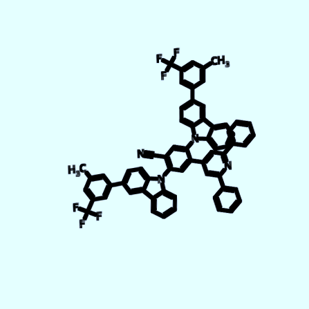 Cc1cc(-c2ccc3c(c2)c2ccccc2n3-c2cc(-c3cc(-c4ccccc4)nc(-c4ccccc4)c3)c(-n3c4ccccc4c4cc(-c5cc(C)cc(C(F)(F)F)c5)ccc43)cc2C#N)cc(C(F)(F)F)c1